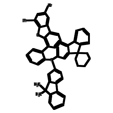 CC(C)c1cc(C(C)C)c2oc3c(-c4ccccc4N(c4ccc5c(c4)C(C)(C)c4ccccc4-5)c4ccc5c(c4)C4(CCCCC4)c4ccccc4-5)cccc3c2c1